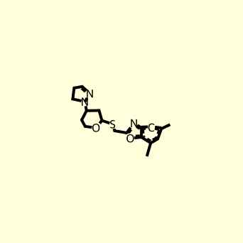 Cc1cc(C)c2oc(CSC3CC(N4CCC=N4)CCO3)nc2c1